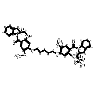 COc1cc2c(cc1OCCCCCOc1cc3c(cc1OC)C(=O)N1c4ccccc4C[C@H]1C(S(=O)(=O)O)N3)NC[C@@H]1Cc3ccccc3N1C2=O